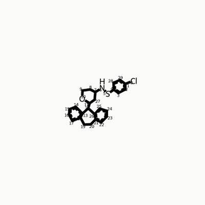 Clc1ccc(SNC2CCOC(C3c4ccccc4CCc4ccccc43)C2)cc1